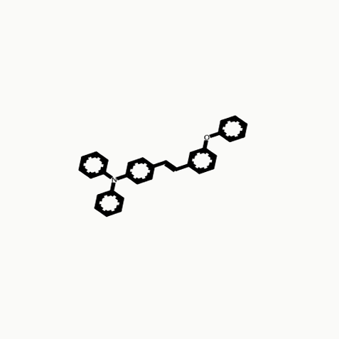 C(=Cc1cccc(Oc2ccccc2)c1)c1ccc(N(c2ccccc2)c2ccccc2)cc1